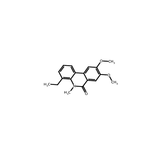 CCc1cccc2c3cc(OC)c(OC)cc3c(=O)n(C)c12